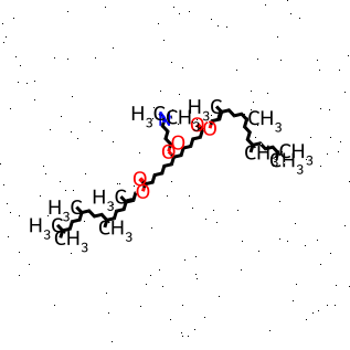 C/C(=C\COC(=O)CCCCCC(CCCCCC(=O)OC/C=C(\C)CCCC(C)CCCC(C)CCCC(C)C)OC(=O)CCCN(C)C)CCCC(C)CCCC(C)CCCC(C)C